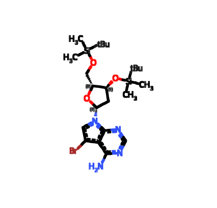 CC(C)(C)[Si](C)(C)OC[C@H]1O[C@@H](n2cc(Br)c3c(N)ncnc32)C[C@@H]1O[Si](C)(C)C(C)(C)C